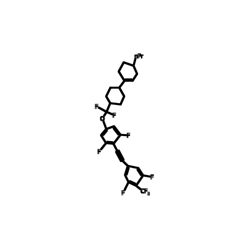 CCCC1CC=C(C2CCC(C(F)(F)Oc3cc(F)c(C#Cc4cc(F)c(C(F)(F)F)c(F)c4)c(F)c3)CC2)CC1